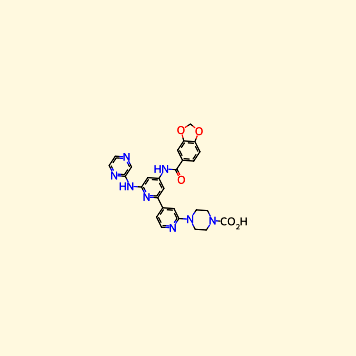 O=C(Nc1cc(Nc2cnccn2)nc(-c2ccnc(N3CCN(C(=O)O)CC3)c2)c1)c1ccc2c(c1)OCO2